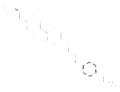 C=CCC1CCC(C2CCC(CCCCc3ccc(COC)cc3)CC2)CC1